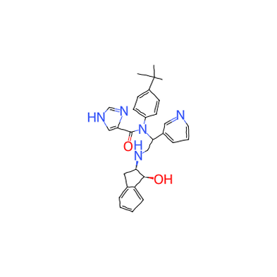 CC(C)(C)c1ccc(N(C(=O)c2c[nH]cn2)C(CN[C@@H]2Cc3ccccc3[C@@H]2O)c2cccnc2)cc1